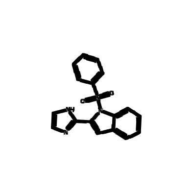 O=S(=O)(c1ccccc1)n1c(-c2ncc[nH]2)cc2ccccc21